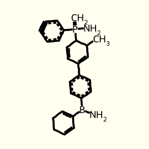 C=P(N)(c1cc#ccc1)C1C=CC(c2ccc(B(N)C3=CCCC=C3)cc2)=CC1C